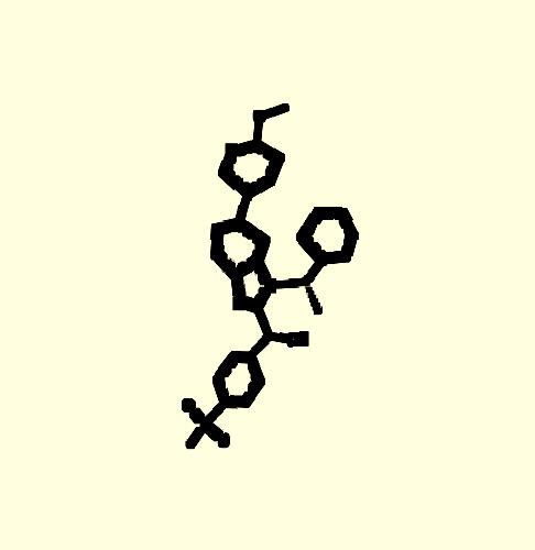 COc1ccc(-c2ccc3nc(C(O)c4ccc(S(C)(=O)=O)cc4)n([C@@H](C)c4ccccc4)c3c2)cn1